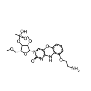 COC[C@H]1O[C@@H](n2cc3c(nc2=O)Nc2c(OCCN)cccc2O3)[C@@H](OC)C1OP(C)(=O)O